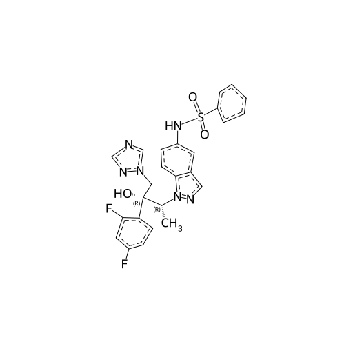 C[C@@H](n1ncc2cc(NS(=O)(=O)c3ccccc3)ccc21)[C@](O)(Cn1cncn1)c1ccc(F)cc1F